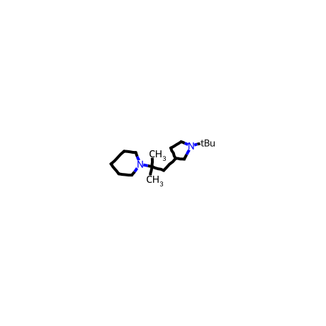 CC(C)(C)N1CCC(CC(C)(C)N2CCCCC2)C1